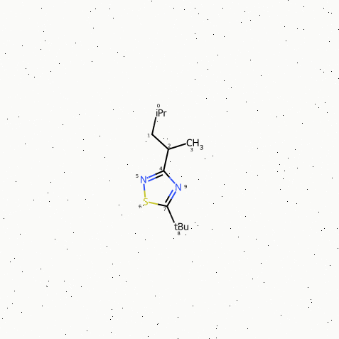 CC(C)CC(C)c1nsc(C(C)(C)C)n1